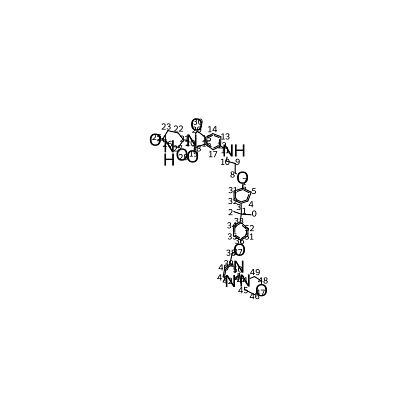 CC(C)(c1ccc(OCCCNc2ccc3c(c2)C(=O)N(C2CCC(=O)NC2=O)C3=O)cc1)c1ccc(OCc2ccnc(N3CCOCC3)n2)cc1